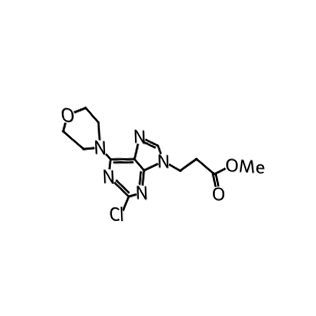 COC(=O)CCn1cnc2c(N3CCOCC3)nc(Cl)nc21